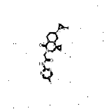 O=C(CN1CC2(CC2)C2CC([C@H]3C[C@H]3F)CCC2C1=O)Nc1ncc(F)cn1